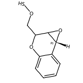 SOCC1Oc2ccccc2[C@H]2OC12